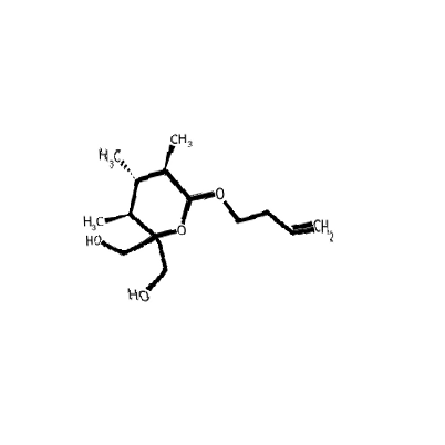 C=CCCOC1OC(CO)(CO)[C@@H](C)[C@H](C)[C@H]1C